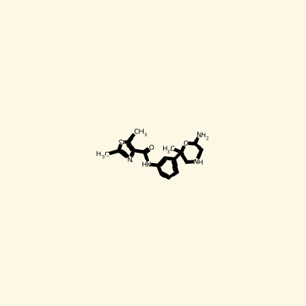 Cc1nc(C(=O)Nc2cccc(C3(C)CNCC(N)O3)c2)c(C)o1